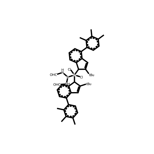 Cc1ccc(-c2cccc3c2C=C(C(C)(C)C)[CH]3[Zr]([Cl])([Cl])([B](NC=O)NC=O)[CH]2C(C(C)(C)C)=Cc3c(-c4ccc(C)c(C)c4C)cccc32)c(C)c1C